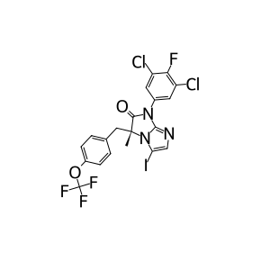 C[C@@]1(Cc2ccc(OC(F)(F)F)cc2)C(=O)N(c2cc(Cl)c(F)c(Cl)c2)c2ncc(I)n21